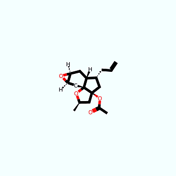 C=CC[C@@H]1C[C@]2(OC(C)=O)C[C@@H](C)O[C@@]23C[C@H]2O[C@H]2C[C@H]13